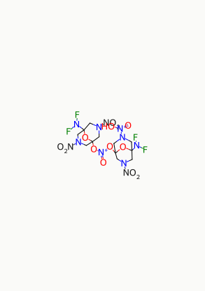 O=[N+](OC12CN([N+](=O)[O-])CC(N(F)F)(CN([N+](=O)[O-])C1)O2)OC12CN([N+](=O)[O-])CC(N(F)F)(CN([N+](=O)O)C1)O2